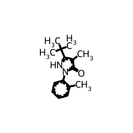 Cc1ccccc1-n1[nH]c(C(C)(C)C)c(C)c1=O